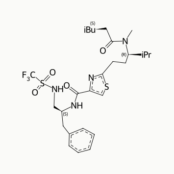 CC[C@H](C)CC(=O)N(C)[C@H](CCc1nc(C(=O)N[C@H](CNS(=O)(=O)C(F)(F)F)Cc2ccccc2)cs1)C(C)C